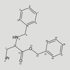 CC(C)CC(NCc1ccccc1)C(=O)OCc1ccccc1